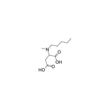 CCCCCN(C)C(CC(=O)O)C(=O)O